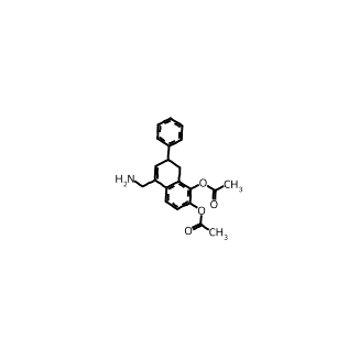 CC(=O)Oc1ccc2c(c1OC(C)=O)CC(c1ccccc1)C=C2CN